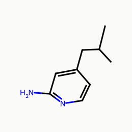 CC(C)Cc1ccnc(N)c1